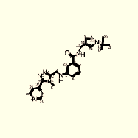 Cn1c(CNc2cccc(C(=O)NCc3cnn(C(C)(C)C)c3)c2)nnc1-c1ccncn1